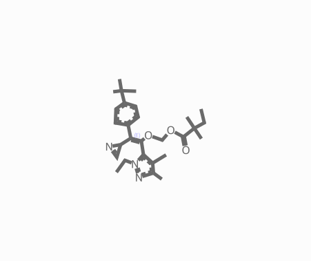 CCn1nc(C)c(C)c1/C(OCOC(=O)C(C)(C)CC)=C(/c1ccc(C(C)(C)C)cc1)C1C=N1